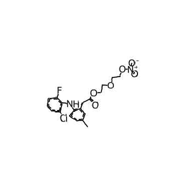 Cc1ccc(Nc2c(F)cccc2Cl)c(CC(=O)OCCOCCO[N+](=O)[O-])c1